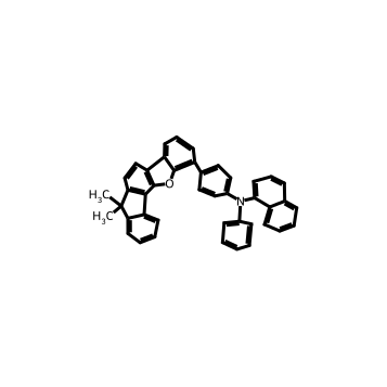 CC1(C)c2ccccc2-c2c1ccc1c2oc2c(-c3ccc(N(c4ccccc4)c4cccc5ccccc45)cc3)cccc21